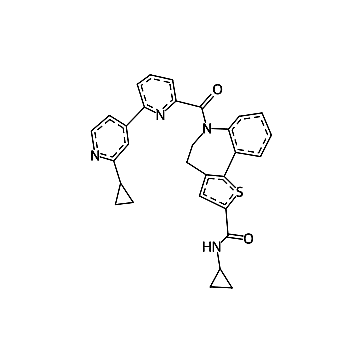 O=C(NC1CC1)c1cc2c(s1)-c1ccccc1N(C(=O)c1cccc(-c3ccnc(C4CC4)c3)n1)CC2